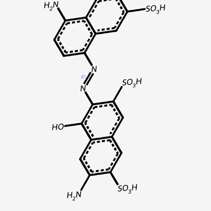 Nc1cc2c(O)c(/N=N/c3ccc(N)c4ccc(S(=O)(=O)O)cc34)c(S(=O)(=O)O)cc2cc1S(=O)(=O)O